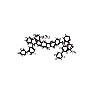 CC(C)c1ccc(-c2ccccc2N(c2cccc(-c3ccccc3)c2)c2ccc3cc4c(cc3c2)oc2cc3cc(N(c5cccc(-c6ccccc6)c5)c5ccccc5-c5ccc(C(C)(C)C)cc5)ccc3cc24)cc1